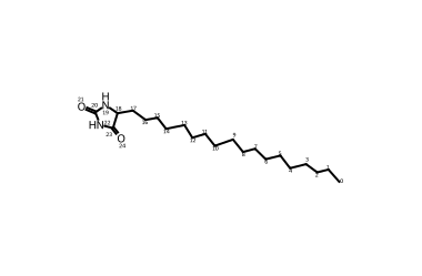 CCCCCCCCCCCCCCCCCCC1NC(=O)NC1=O